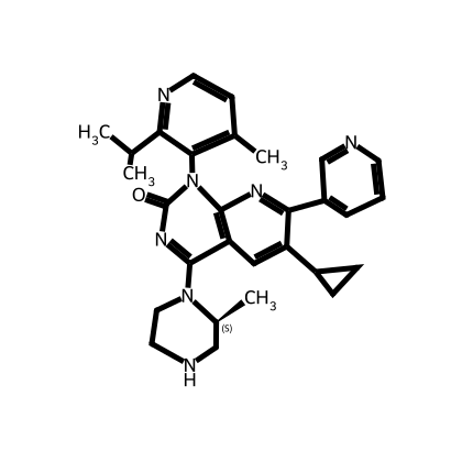 Cc1ccnc(C(C)C)c1-n1c(=O)nc(N2CCNC[C@@H]2C)c2cc(C3CC3)c(-c3cccnc3)nc21